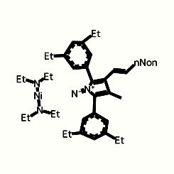 CCCCCCCCCC=CC1=C(c2cc(CC)cc(CC)c2)[N+](=[N-])C(c2cc(CC)cc(CC)c2)=C1C.CC[N](CC)[Ni][N](CC)CC